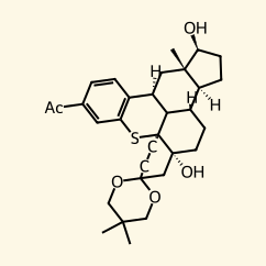 CC(=O)c1ccc2c(c1)S[C@]13CCC4(C[C@]1(O)CC[C@@H]1C3[C@@H]2C[C@]2(C)[C@@H](O)CC[C@@H]12)OCC(C)(C)CO4